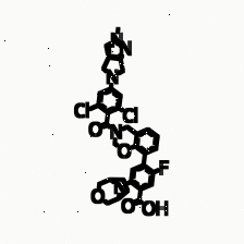 Cn1cc2c(n1)CN(c1cc(Cl)c(C(=O)N3COc4c(cccc4-c4cc(N5C6CCC5COC6)c(C(=O)O)cc4F)C3)c(Cl)c1)C2